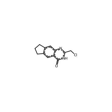 O=c1[nH]c(CCl)nc2cc3c(cc12)CCC3